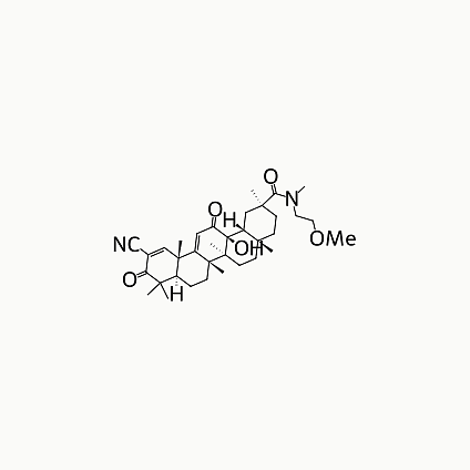 COCCN(C)C(=O)[C@@]1(C)CC[C@]2(C)CC[C@@]3(C)[C@]4(C)CC[C@H]5C(C)(C)C(=O)C(C#N)=C[C@]5(C)C4=CC(=O)[C@]3(O)[C@@H]2C1